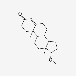 COC1CCC2C3CCC4=CC(=O)CCC4(C)C3CCC12C